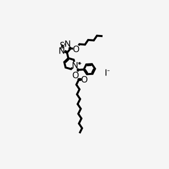 CCCCCCCCCCCC(=O)OC(c1ccccc1)[N+]1(C)CCC=C(c2nsnc2OCCCCCC)C1.[I-]